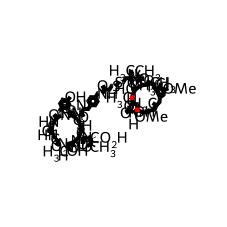 COc1cc2cc(c1Cl)N(C)C(=O)C[C@H](OC(=O)[C@H](C)N(C)C(=O)CCSSCCC(=O)NCc1ccc(C[C@@H](N)C(=O)N[C@H]3CSSC[C@@H](C(=O)N[C@H](C(=O)O)[C@@H](C)O)NC(=O)[C@H]([C@@H](C)O)NC(=O)CNC(=O)CNC(=O)[C@H](Cc4ccc(O)cc4)NC3=O)cc1)[C@](C)(O)C[C@H](C)[C@@H]1C[C@@](O)(NC(=O)O1)[C@H](OC)/C=C/C=C(\C)C2